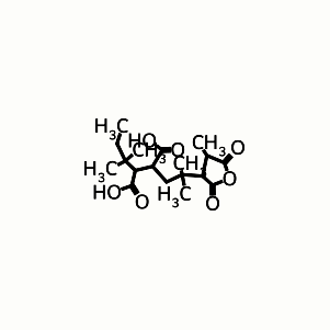 CCC(C)(C)C(C(=O)O)C(CC(C)(C)C1C(=O)OC(=O)C1C)C(=O)O